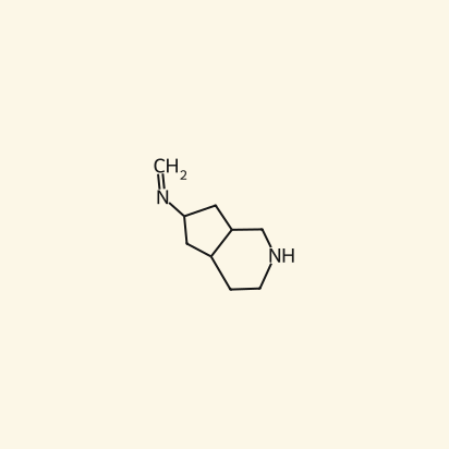 C=NC1CC2CCNCC2C1